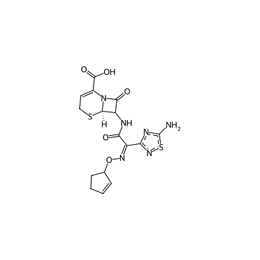 Nc1nc(/C(=N/OC2C=CCC2)C(=O)NC2C(=O)N3C(C(=O)O)=CCS[C@H]23)ns1